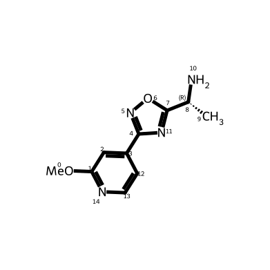 COc1cc(-c2noc([C@@H](C)N)n2)ccn1